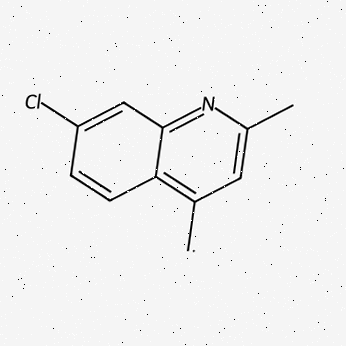 [CH2]c1cc(C)nc2cc(Cl)ccc12